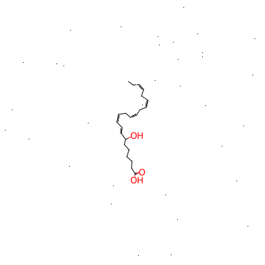 CC/C=C\C/C=C\C/C=C\C/C=C\C=C\C(O)CCCCCC(=O)O